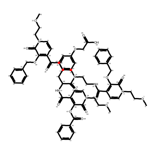 COCCn1ccc(C(=O)NCCN(CCNC(=O)c2ccn(CCOC)c(=O)c2OCc2ccccc2)C(=O)C(Cc2ccc(OCC(=O)O)cc2)NC(=O)c2ccn(CCOC)c(=O)c2OC(=O)c2ccccc2)c(OCc2ccccc2)c1=O